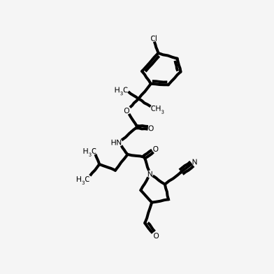 CC(C)CC(NC(=O)OC(C)(C)c1cccc(Cl)c1)C(=O)N1CC(C=O)CC1C#N